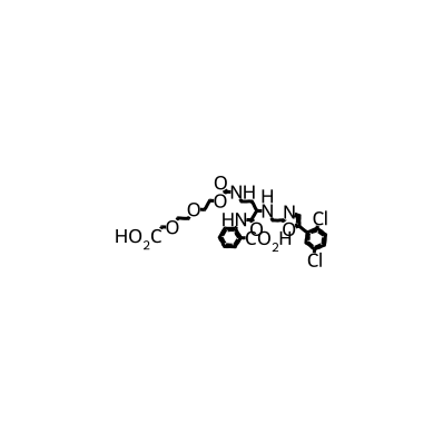 O=C(O)COCCOCCOC(=O)NCCC(NCc1ncc(-c2cc(Cl)ccc2Cl)o1)C(=O)Nc1ccccc1C(=O)O